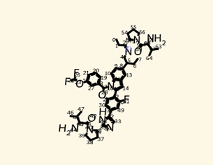 CC/C(=N\CC(CC)c1ccc2c(c1)cc1n2C(c2cccc(OC(F)F)c2)Oc2cc(-c3cnc([C@@H]4CCCN4C(=O)[C@@H](N)C(C)C)[nH]3)cc(F)c2-1)[C@@H]1CCCN1C(=O)[C@@H](N)C(C)C